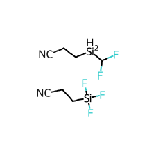 N#CCC[SiH2]C(F)F.N#CCC[Si](F)(F)F